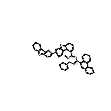 C=N/C(=N\C(=N/Cc1ccccc1)c1cc2ccccc2c2ccccc12)c1cccc2oc3cc(-c4ccc5oc6ccccc6c5c4)ccc3c12